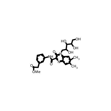 COC(=O)Cc1cccc(NC(=O)c2nc3cc(C)c(C)cc3n(CC(O)C(O)C(O)CO)c2=O)c1